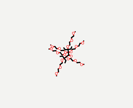 CCC(CC)(OCCOCCOC)C(OCCOCCOC)(OCCOCCOC)C(=O)C(OCCOCCOC)(OCCOCCOC)C(CC)(CC)OCCOCCOC